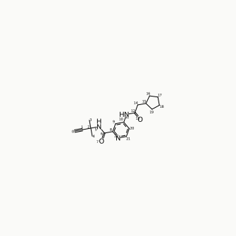 C#CC(C)(C)NC(=O)c1cc(NC(=O)CC2CCCC2)ccn1